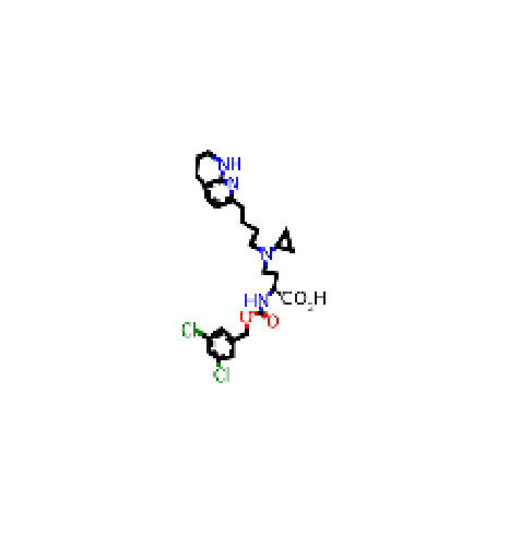 O=C(N[C@@H](CCN(CCCCc1ccc2c(n1)NCCC2)C1CC1)C(=O)O)OCc1cc(Cl)cc(Cl)c1